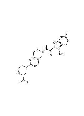 Cc1ccc2c(N)c(C(=O)N[C@H]3CCc4nc(N5CCNC(C(F)F)C5)ccc4C3)sc2n1